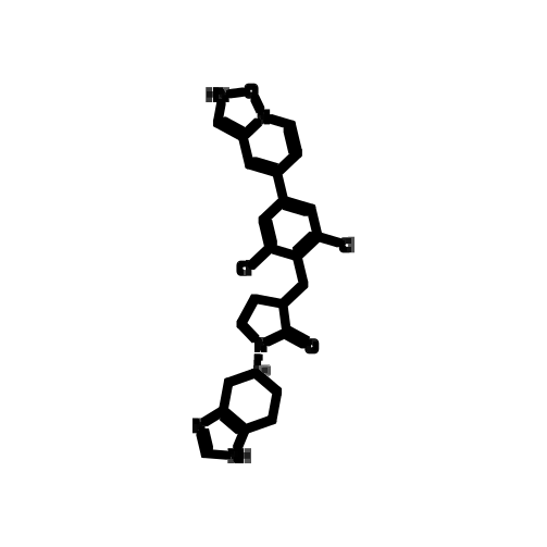 O=C1C(Cc2c(Cl)cc(C3=CC4=CNON4C=C3)cc2Cl)CCN1[C@@H]1CCc2[nH]cnc2C1